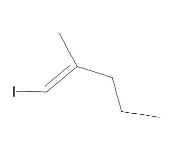 CCCC(C)=CI